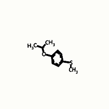 CSc1ccc(O[C](C)C)cc1